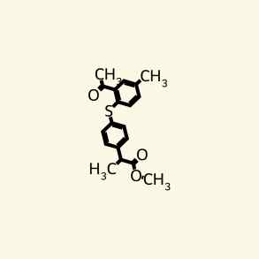 COC(=O)C(C)c1ccc(Sc2ccc(C)cc2C(C)=O)cc1